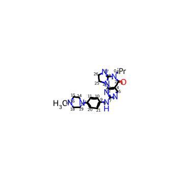 CC(C)N1C(=O)c2cnc(Nc3ccc(N4CCN(C)CC4)cc3)nc2N2CCN=C21